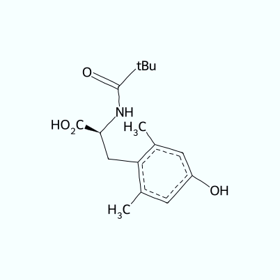 Cc1cc(O)cc(C)c1C[C@H](NC(=O)C(C)(C)C)C(=O)O